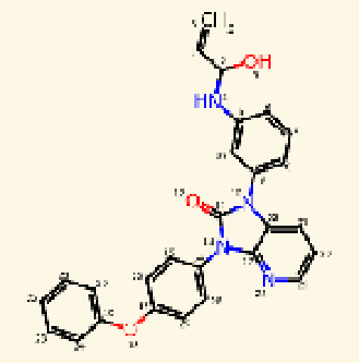 C=CC(O)Nc1cccc(-n2c(=O)n(-c3ccc(Oc4ccccc4)cc3)c3ncccc32)c1